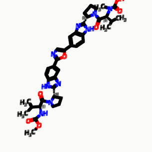 COC(=O)N[C@H](C(=O)N1CCC[C@H]1c1nc2cc(-c3ncc(-c4ccc5[nH]c([C@@H]6CCCN6C(=O)[C@H](C(C)C)N(C)C(=O)O)nc5c4)o3)ccc2[nH]1)C(C)C